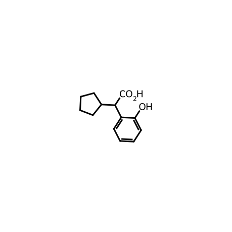 O=C(O)C(c1ccccc1O)C1CCCC1